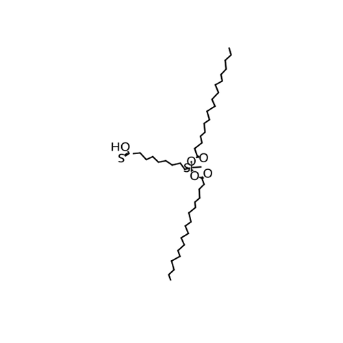 CCCCCCCCCCCCCCCCCC(=O)O[Si](C)(CCCCCCCCC)OC(=O)CCCCCCCCCCCCCCCCC.OC=S